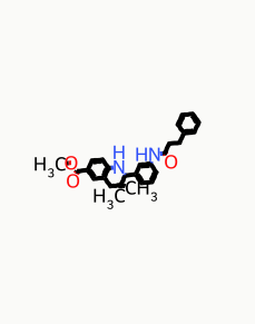 COC(=O)c1ccc2c(c1)CC(C)(C)C(c1cccc(NC(=O)CCc3ccccc3)c1)N2